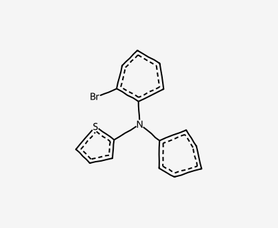 Brc1ccccc1N(c1ccccc1)c1cccs1